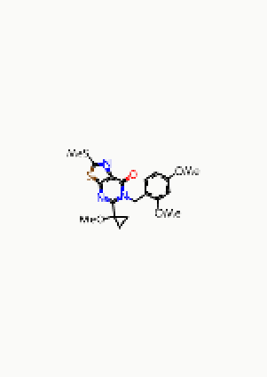 COc1ccc(Cn2c(C3(OC)CC3)nc3sc(SC)nc3c2=O)c(OC)c1